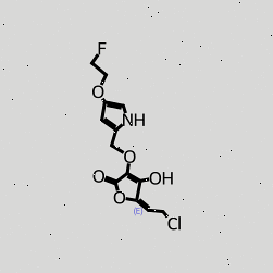 O=C1O/C(=C/CCl)C(O)=C1OCc1cc(OCCF)c[nH]1